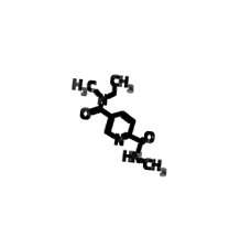 CCN(C)C(=O)c1ccc(C(=O)NC)nc1